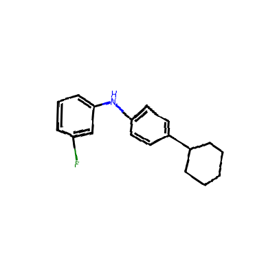 Fc1cccc(Nc2ccc(C3CCCCC3)cc2)c1